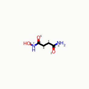 NC(=O)C[CH]C(=O)NO